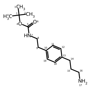 CC(C)(C)OC(=O)NCCc1ccc(CCCN)cc1